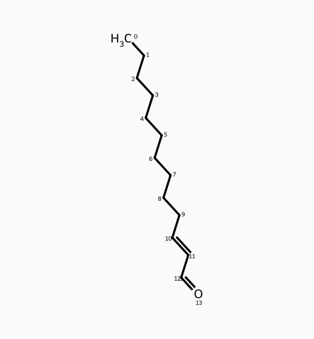 CCCCCCCCCCC=C[C]=O